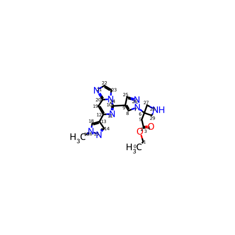 CCOC(=O)CC1(n2cc(-c3nc(-c4cnn(C)c4)cc4nccn34)cn2)CNC1